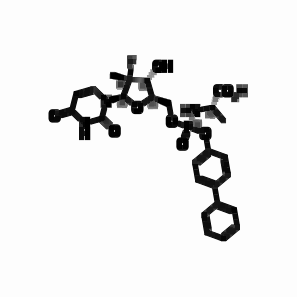 C[C@H](N[P@](=O)(OC[C@H]1O[C@@H](n2ccc(=O)[nH]c2=O)[C@](C)(F)[C@@H]1O)Oc1ccc(-c2ccccc2)cc1)C(=O)O